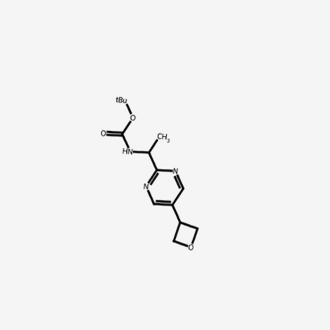 CC(NC(=O)OC(C)(C)C)c1ncc(C2COC2)cn1